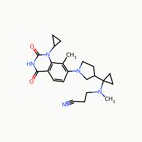 Cc1c(N2CCC(C3(N(C)CCC#N)CC3)C2)ccc2c(=O)[nH]c(=O)n(C3CC3)c12